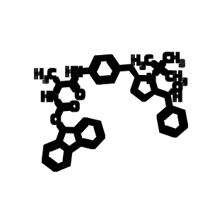 C[C@H](NC(=O)OC1c2ccccc2-c2ccccc21)C(=O)Nc1ccc(C[C@@H]2CC[C@H]([C@H](O)c3ccccc3)N2C(C)(C)C)cc1